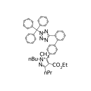 CCCC[N+]1(C)N=C(CCC)C(C(=O)OCC)=C1c1ccc(-c2ccccc2-c2nnn(C(c3ccccc3)(c3ccccc3)c3ccccc3)n2)cc1